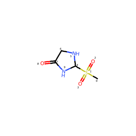 CS(=O)(=O)[C]1NCC(=O)N1